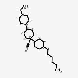 CCCCCCC1CCC(C2(C#N)CCC(C3CCC(CC)CC3)CC2)CC1